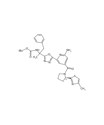 Cc1csc([C@H]2CCCN2C(=O)c2cc(N)nc(-c3nnc(C(C)(Cc4ccccc4)NC(=O)OC(C)(C)C)o3)c2)n1